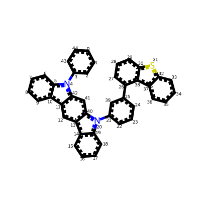 c1ccc(-n2c3ccccc3c3cc4c5ccccc5n(-c5cccc(-c6cccc7sc8ccccc8c67)c5)c4cc32)cc1